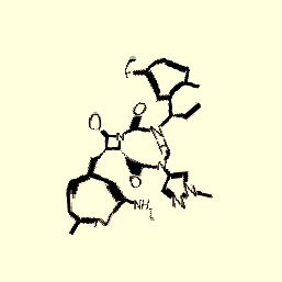 CC[C@@H](NC(=O)N1C(=O)[C@H](Cc2cc(C)nc(N)c2)[C@H]1C(=O)N(C)c1cnn(C)c1)c1cc(F)ccc1C